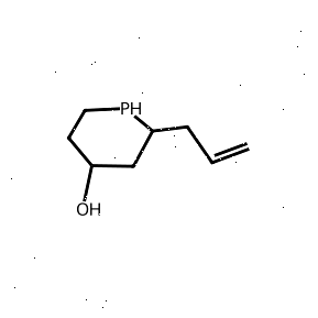 C=CCC1CC(O)CCP1